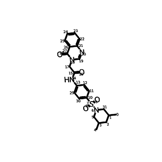 CC1CC(C)CN(S(=O)(=O)c2ccc(NC(=O)Cn3cnc4ccccc4c3=O)cc2)C1